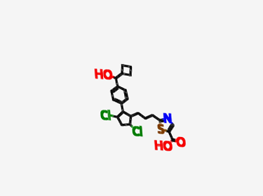 O=C(O)c1cnc(CCCC2C(Cl)CC(Cl)C2c2ccc(C(O)C3CCC3)cc2)s1